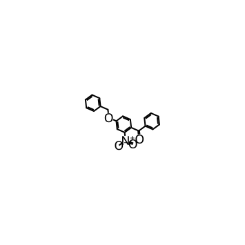 O=C(c1ccccc1)c1ccc(OCc2ccccc2)cc1[N+](=O)[O-]